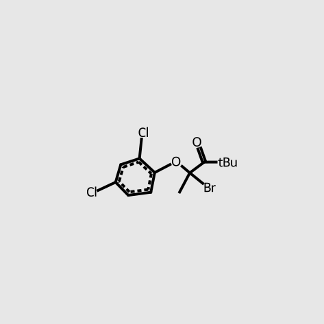 CC(C)(C)C(=O)C(C)(Br)Oc1ccc(Cl)cc1Cl